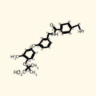 Cc1cc(Oc2cccc(CNC(=O)c3ccc(CC(C)C)cc3)c2)ccc1OC(C)(C)C(=O)O